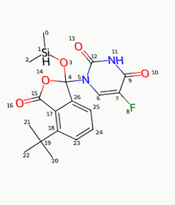 C[SiH](C)OC1(n2cc(F)c(=O)[nH]c2=O)OC(=O)c2c(C(C)(C)C)cccc21